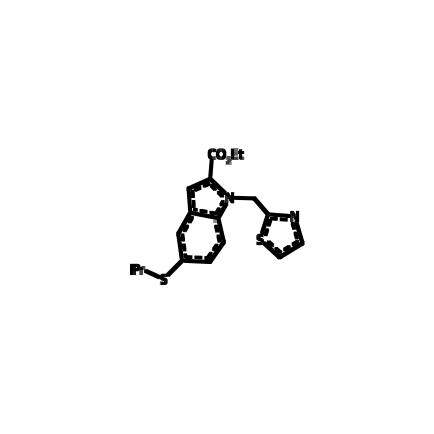 CCOC(=O)c1cc2cc(SC(C)C)ccc2n1Cc1nccs1